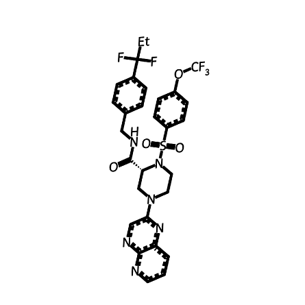 CCC(F)(F)c1ccc(CNC(=O)[C@H]2CN(c3cnc4ncccc4n3)CCN2S(=O)(=O)c2ccc(OC(F)(F)F)cc2)cc1